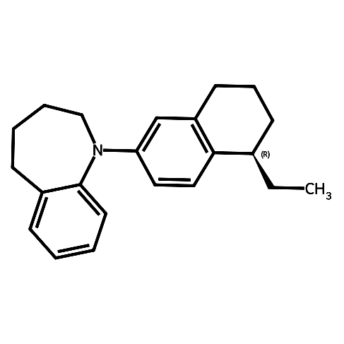 CC[C@@H]1CCCc2cc(N3CCCCc4ccccc43)ccc21